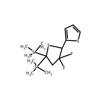 C[Si](C)(C)C1([Si](C)(C)C)CC(F)(F)C(c2cccs2)S1